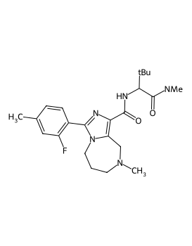 CNC(=O)C(NC(=O)c1nc(-c2ccc(C)cc2F)n2c1CN(C)CCC2)C(C)(C)C